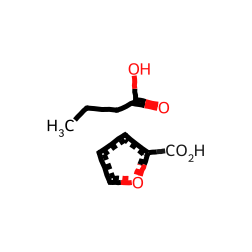 CCCC(=O)O.O=C(O)c1ccco1